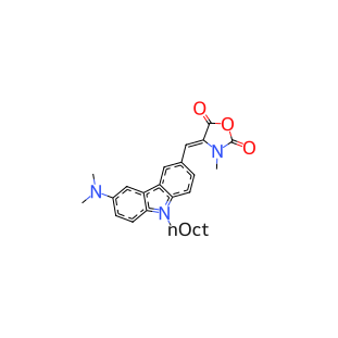 CCCCCCCCn1c2ccc(/C=C3/C(=O)OC(=O)N3C)cc2c2cc(N(C)C)ccc21